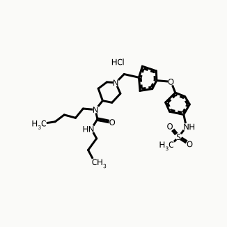 CCCCCN(C(=O)NCCC)C1CCN(Cc2ccc(Oc3ccc(NS(C)(=O)=O)cc3)cc2)CC1.Cl